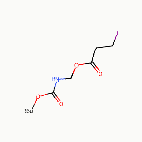 CC(C)(C)OC(=O)NCOC(=O)CCI